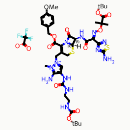 COc1ccc(COC(=O)C2=C(C[n+]3cc(NC(=O)NCCNC(=O)OC(C)(C)C)c(N)n3C)CS[C@@H]3[C@H](NC(=O)C(=NOC(C)(C)C(=O)OC(C)(C)C)c4nsc(N)n4)C(=O)N23)cc1.O=C([O-])C(F)(F)F